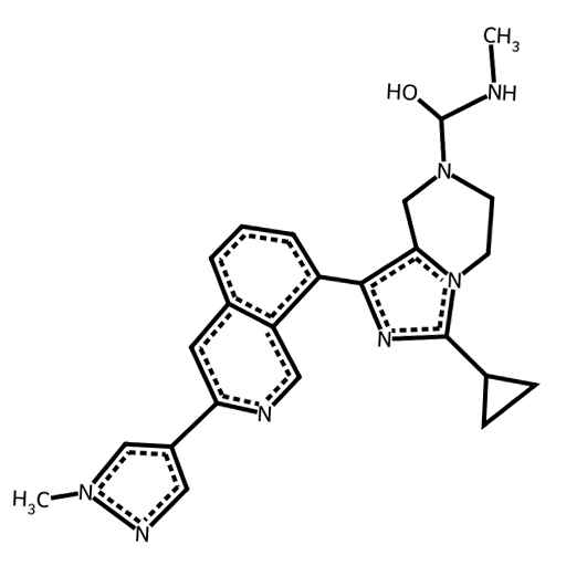 CNC(O)N1CCn2c(C3CC3)nc(-c3cccc4cc(-c5cnn(C)c5)ncc34)c2C1